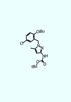 Cc1cc(NC(=O)OC(C)(C)C)nn1Cc1cc(Cl)ccc1OCC(C)C